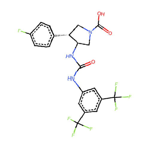 O=C(Nc1cc(C(F)(F)F)cc(C(F)(F)F)c1)NC1CN(C(=O)O)C[C@H]1c1ccc(F)cc1